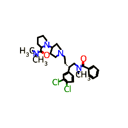 CN(C)C(=O)C1CCCCN1C1CCN(CC[C@H](CN(C)C(=O)c2ccccc2)c2ccc(Cl)c(Cl)c2)CC1